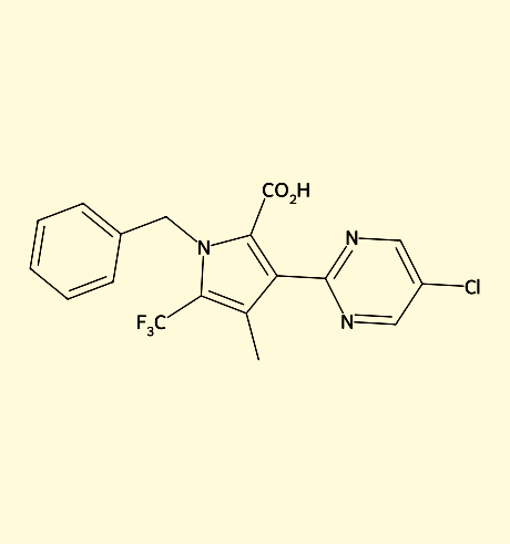 Cc1c(-c2ncc(Cl)cn2)c(C(=O)O)n(Cc2ccccc2)c1C(F)(F)F